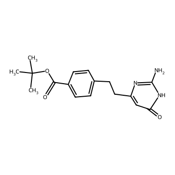 CC(C)(C)OC(=O)c1ccc(CCc2cc(=O)[nH]c(N)n2)cc1